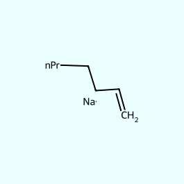 C=CCCCCC.[Na]